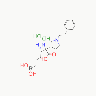 Cl.Cl.NC(CCCCB(O)O)(C(=O)O)C1CCN(CCc2ccccc2)C1